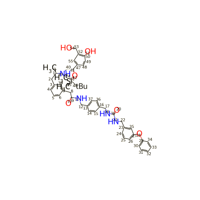 C[C@H](Cc1cccc(CC(=O)NCc2ccc(CNC(=O)NCc3cccc(Oc4ccccc4)c3)cc2)c1)NC[C@@H](O[Si](C)(C)C(C)(C)C)c1ccc(O)c(CO)c1